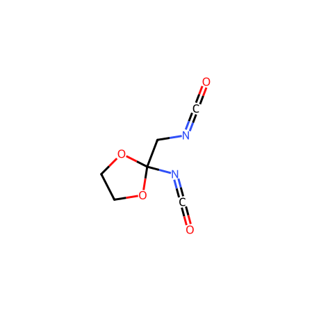 O=C=NCC1(N=C=O)OCCO1